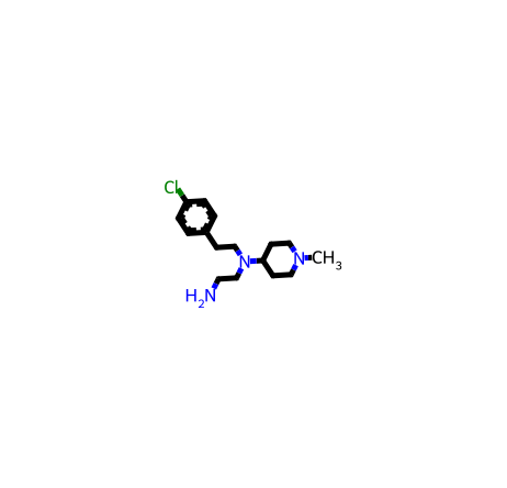 CN1CCC(N(CCN)CCc2ccc(Cl)cc2)CC1